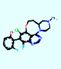 CN1CCN2c3ncnc4c(F)c(-c5c(O)cccc5F)c(Cl)c(c34)OCCC2C1